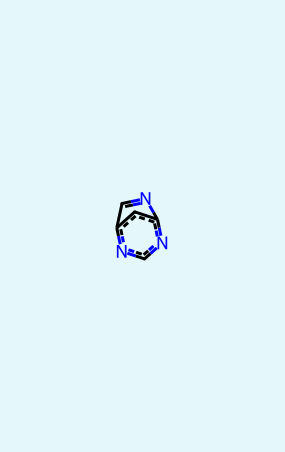 C1=Nc2cc1ncn2